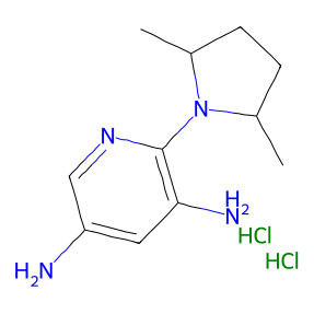 CC1CCC(C)N1c1ncc(N)cc1N.Cl.Cl